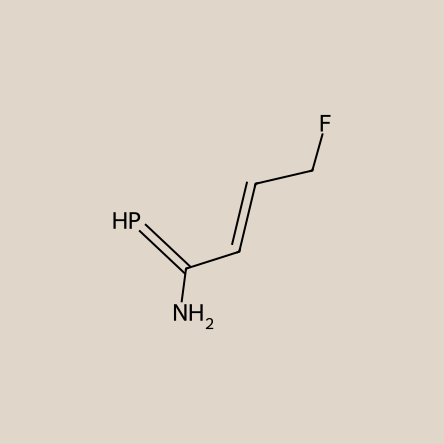 NC(=P)C=CCF